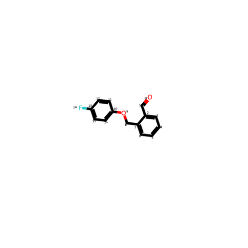 O=Cc1ccccc1COc1ccc(F)cc1